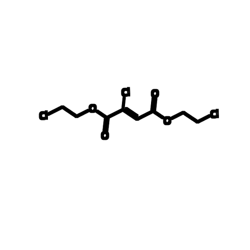 O=C(/C=C(\Cl)C(=O)OCCCl)OCCCl